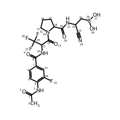 CC(=O)Nc1ccc(C(=O)NC(C(=O)N2CCCC2C(=O)NC(C#N)CB(O)O)C(F)(F)F)cc1F